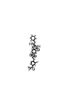 Cc1cc(C(=O)N(C)C)ccc1CCS(=O)(=O)N1CCC2(CC1)N=C(NCC1CCCCC1)NC2=O